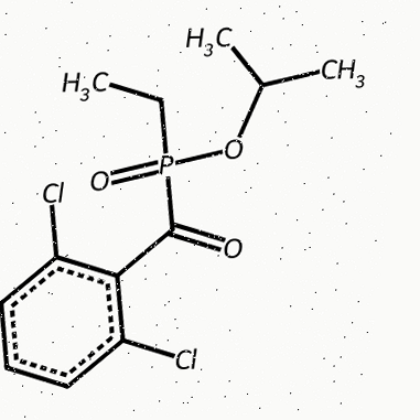 CCP(=O)(OC(C)C)C(=O)c1c(Cl)cccc1Cl